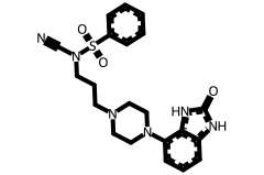 N#CN(CCCN1CCN(c2cccc3[nH]c(=O)[nH]c23)CC1)S(=O)(=O)c1ccccc1